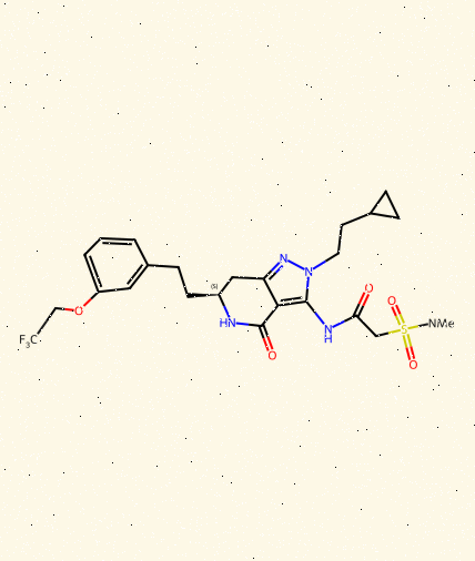 CNS(=O)(=O)CC(=O)Nc1c2c(nn1CCC1CC1)C[C@H](CCc1cccc(OCC(F)(F)F)c1)NC2=O